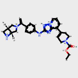 C=C(c1ccc(Nc2nc3c(C4=CCN(C(=O)OCC)CC4)cccn3n2)cc1)N1C[C@H]2CN[C@H]2C1